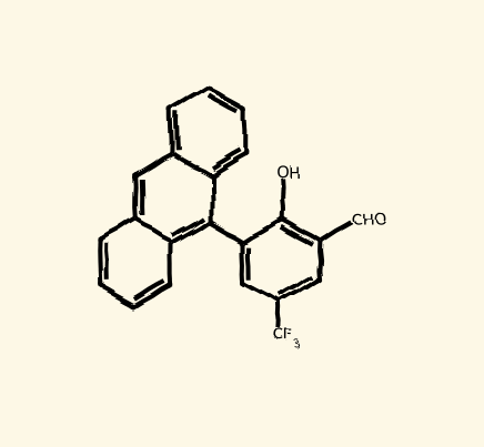 O=Cc1cc(C(F)(F)F)cc(-c2c3ccccc3cc3ccccc23)c1O